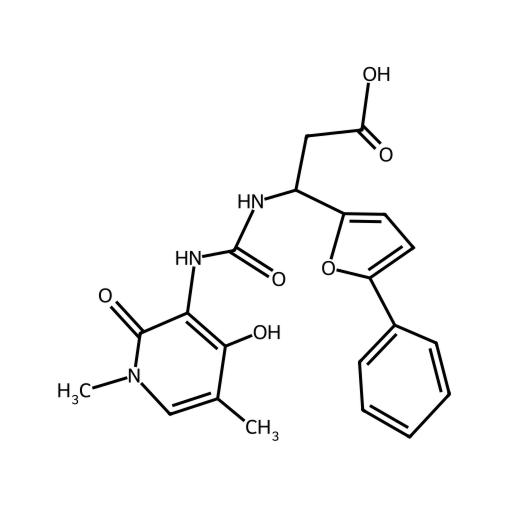 Cc1cn(C)c(=O)c(NC(=O)NC(CC(=O)O)c2ccc(-c3ccccc3)o2)c1O